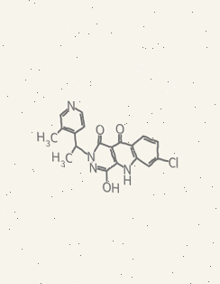 Cc1cnccc1C(C)n1nc(O)c2[nH]c3cc(Cl)ccc3c(=O)c2c1=O